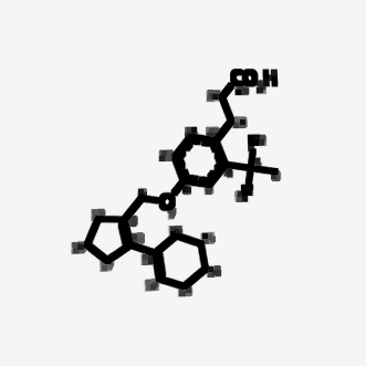 CC(F)(F)c1cc(OCC2=C(C3=CCCCC3)CCC2)ccc1CCC(=O)O